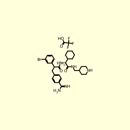 N=C(N)c1ccc(CC(C(=O)N[C@H](C(=O)NCC2CCNCC2)C2CCCCC2)c2cccc(Br)c2)cc1.O=C(O)C(F)(F)F